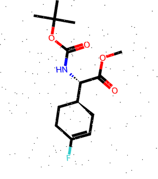 COC(=O)[C@@H](NC(=O)OC(C)(C)C)[C@H]1CC=C(F)CC1